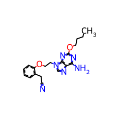 CCCCOc1nc(N)c2ncn(CCOc3ccccc3CC#N)c2n1